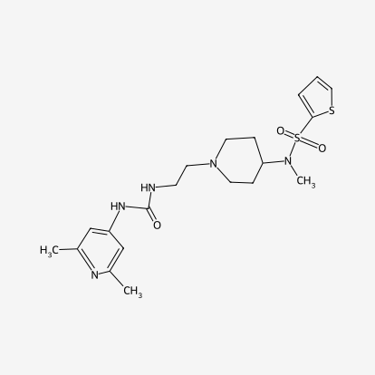 Cc1cc(NC(=O)NCCN2CCC(N(C)S(=O)(=O)c3cccs3)CC2)cc(C)n1